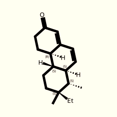 CC[C@@]1(C)CC[C@H]2[C@@H](C=CC3=CC(=O)CC[C@@H]32)[C@@H]1C